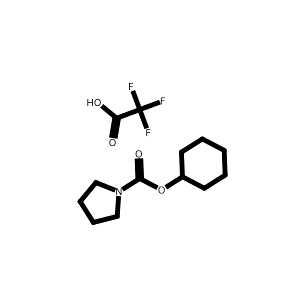 O=C(O)C(F)(F)F.O=C(OC1CCCCC1)N1CCCC1